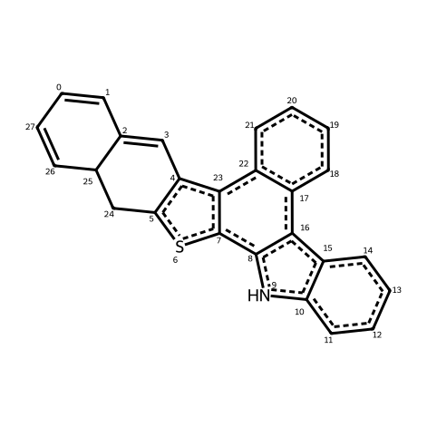 C1=CC2=Cc3c(sc4c5[nH]c6ccccc6c5c5ccccc5c34)CC2C=C1